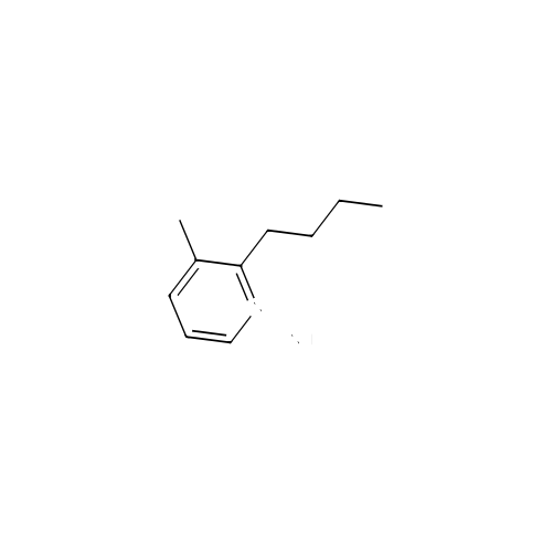 CCCCc1ncccc1C.N